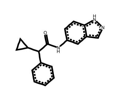 O=C(Nc1ccc2[nH]ncc2c1)C(c1ccccc1)C1CC1